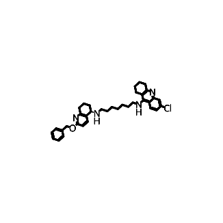 Clc1ccc2c(NCCCCCCCN[C@H]3CCCc4nc(OCc5ccccc5)ccc43)c3c(nc2c1)CCCC3